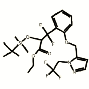 CCOC(=O)C(O[Si](C)(C)C(C)(C)C)C(F)(F)c1ccccc1OCc1ccnn1CC(F)(F)F